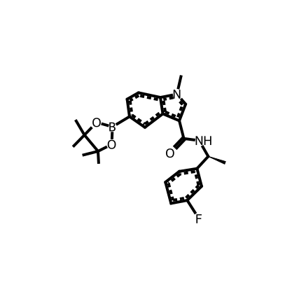 C[C@H](NC(=O)c1cn(C)c2ccc(B3OC(C)(C)C(C)(C)O3)cc12)c1cccc(F)c1